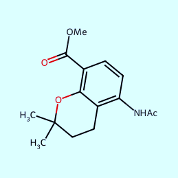 COC(=O)c1ccc(NC(C)=O)c2c1OC(C)(C)CC2